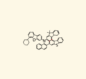 CC1(C)c2ccccc2-c2ccc(N(c3ccc4c(c3)oc3c(C5CCCCC5)cccc34)c3c(-c4ccc5c(c4)sc4ccccc45)ccc4ccccc34)cc21